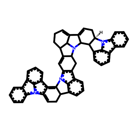 C1=C2C3CCC=C4C5=CC[C@@H]6C(c7cccc8c9ccccc9n6c78)C5N(C2Cc2c1n1c5c(cccc25)C2CC=c5c(c6cccc7c8ccccc8n5c67)=C21)C43